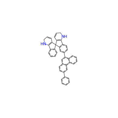 C1=CC2=C(NC1)c1ccccc1C21C2=C(NCC=C2)c2ccc(-c3cc4ccc(-c5ccccc5)cc4c4ccccc34)cc21